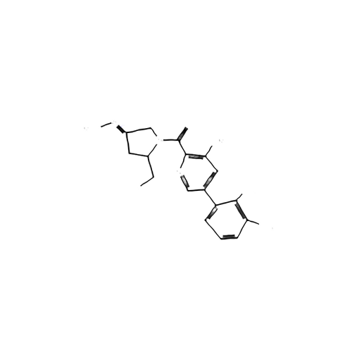 CO/N=C1\CC(CO)N(C(=O)c2ncc(-c3cccc(C)c3C)cc2OC)C1